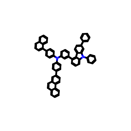 c1ccc(-c2ccc3c4c(-c5cccc(N(c6ccc(-c7ccc8c(ccc9ccccc98)c7)cc6)c6ccc(-c7cccc8ccccc78)cc6)c5)cccc4n(-c4ccccc4)c3c2)cc1